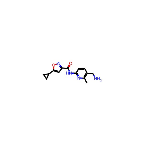 Cc1nc(NC(=O)c2cc(C3CC3)on2)ccc1CN